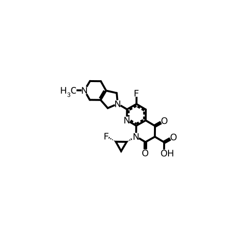 CN1CCC2=C(C1)CN(c1nc3c(cc1F)C(=O)C(C(=O)O)C(=O)N3[C@@H]1C[C@@H]1F)C2